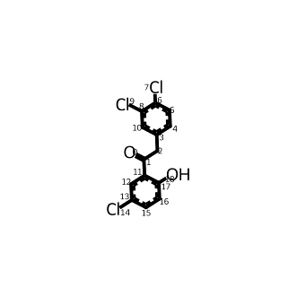 O=C(Cc1ccc(Cl)c(Cl)c1)c1cc(Cl)ccc1O